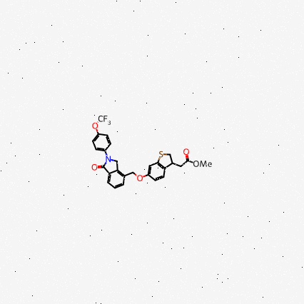 COC(=O)CC1CSc2cc(OCc3cccc4c3CN(c3ccc(OC(F)(F)F)cc3)C4=O)ccc21